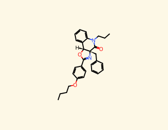 CCCCOc1ccc(C2=N[C@@]3(Cc4ccccc4)C(=O)N(CCC)c4ccccc4[C@H]3O2)cc1